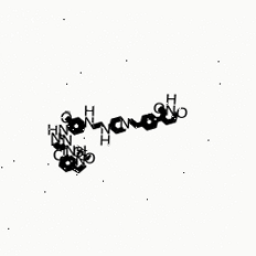 COc1cc(NCCNC2CCN(CCc3ccc(C4CCC(=O)NC4=O)cc3)CC2)ccc1Nc1ncc(Cl)c(Nc2cccc3c2N(S(C)(=O)=O)CC3)n1